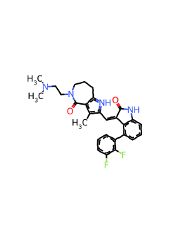 Cc1c(/C=C2\C(=O)Nc3cccc(-c4cccc(F)c4F)c32)[nH]c2c1C(=O)N(CCN(C)C)CCC2